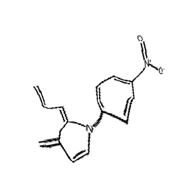 C=C/C=c1\c(=C)ccn1-c1ccc([N+](=O)[O-])cc1